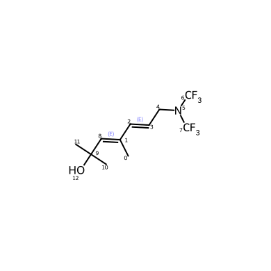 CC(/C=C/CN(C(F)(F)F)C(F)(F)F)=C\C(C)(C)O